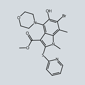 COC(=O)c1c(Sc2ccccn2)n(C)c2c(C)c(Br)c(O)c(N3CCOCC3)c12